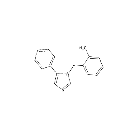 Cc1ccccc1Cn1cncc1-c1ccccc1